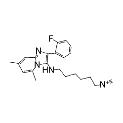 C#[N+]CCCCCCNc1c(-c2ccccc2F)nc2cc(C)cc(C)n12